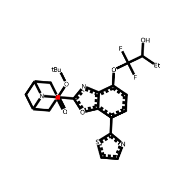 CCC(O)C(F)(F)Oc1ccc(-c2nccs2)c2oc(N3CC4CC(C3)N4C(=O)OC(C)(C)C)nc12